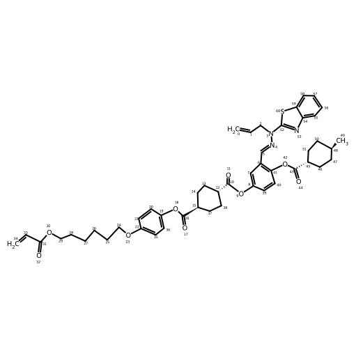 C=CCN(/N=C/c1cc(OC(=O)[C@H]2CC[C@H](C(=O)Oc3ccc(OCCCCCCOC(=O)C=C)cc3)CC2)ccc1OC(=O)[C@H]1CC[C@H](C)CC1)c1nc2ccccc2s1